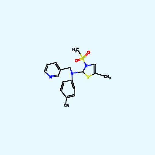 CC1=CN(S(C)(=O)=O)C(N(Cc2cccnc2)c2ccc(C#N)cc2)S1